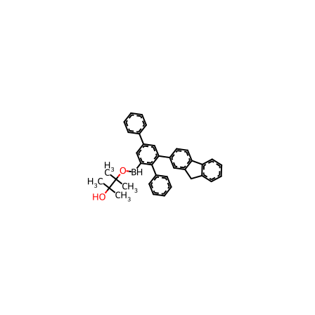 CC(C)(O)C(C)(C)OBc1cc(-c2ccccc2)cc(-c2ccc3c(c2)Cc2ccccc2-3)c1-c1ccccc1